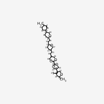 CC1C=CC(C2CCC(CCC3CCC(CCC4COC(C5OCC(C6=C(I)CC(C)OC6)CO5)OC4)CO3)OC2)CC1